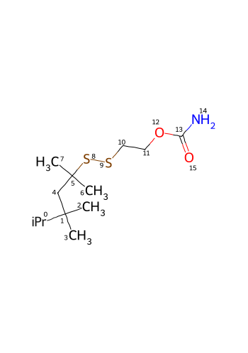 CC(C)C(C)(C)CC(C)(C)SSCCOC(N)=O